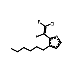 CCCCCCc1ccsc1C(F)=C(F)Cl